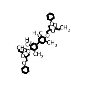 C=CC(=O)OC(COc1ccccc1)COc1c(C)cc(-c2cc(C)c(OCC(COc3ccccc3)OC(=O)C=C)c(C)c2)cc1C